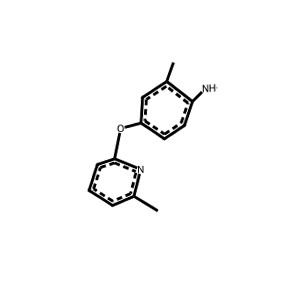 Cc1cccc(Oc2ccc([NH])c(C)c2)n1